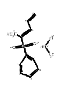 C=CC=C(C(=O)O)S(=O)(=O)c1ccccc1.CCNCC